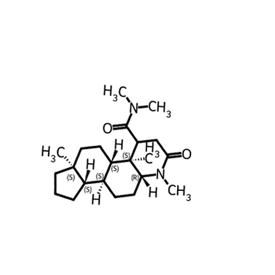 CN(C)C(=O)C1CC(=O)N(C)[C@@H]2CC[C@H]3[C@@H]4CCC[C@@]4(C)CC[C@@H]3[C@@]12C